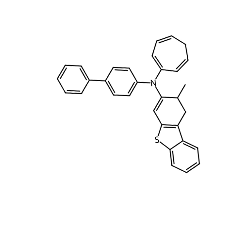 CC1Cc2c(sc3ccccc23)C=C1N(C1=CC=CCC=C1)c1ccc(-c2ccccc2)cc1